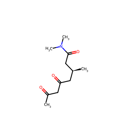 CC(=O)CC(=O)C[C@H](C)CC(=O)N(C)C